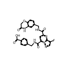 O=C1COc2ccc(CNC(=O)c3cc(C(=O)NCc4ccc(C(=O)O)cc4)n4ncc(F)c4n3)cc2N1